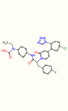 CCN(C(=O)O)c1ccc(NC(=O)C(Cc2ccc(F)cc2)n2ccc(-c3cc(Cl)ccc3-n3cnnn3)cc2=O)cc1